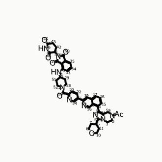 CC(=O)N1CCn2c(C3CCOCC3)nc(-c3cccc4cc(-c5ccc(C(=O)N6CCC(Nc7cccc8c7C(=O)N(C7CCC(=O)NC7=O)C8=O)CC6)nc5)ncc34)c2C1